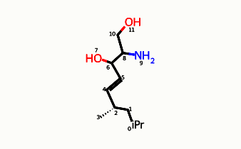 CC(C)C[C@H](C)/C=C/C(O)C(N)CO